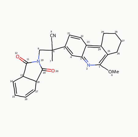 COc1nc2cc(C(C)(C#N)CN3C(=O)C4C=CC=CC4C3=O)ccc2c2c1CCCC2